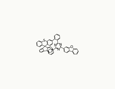 c1ccc(-c2nc(-c3ccc4c(c3)oc3ccccc34)nc(-c3ccccc3-c3ccc4c(c3)Sc3ccccc3C43c4ccccc4-c4ccccc43)n2)cc1